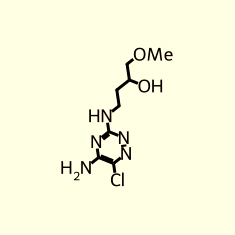 COCC(O)CCNc1nnc(Cl)c(N)n1